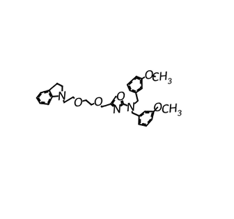 COc1cccc(CN(Cc2cccc(OC)c2)c2nc(COCCOCCN3CCc4ccccc43)co2)c1